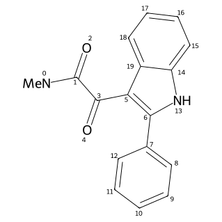 CNC(=O)C(=O)c1c(-c2ccccc2)[nH]c2ccccc12